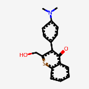 CN(C)c1ccc(-c2c(CO)sc3ccccc3c2=O)cc1